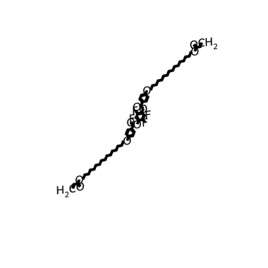 C=CC(=O)OCCCCCCCCCCCCCCCCOc1ccc(C(=O)Oc2c(F)c(F)c(OC(=O)c3ccc(OCCCCCCCCCCCCCCCCOC(=O)C=C)cc3)c(F)c2F)cc1